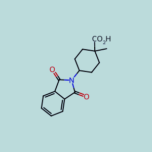 CC1(C(=O)O)CCC(N2C(=O)c3ccccc3C2=O)CC1